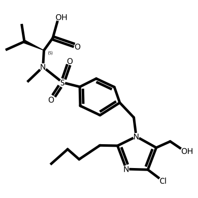 CCCCc1nc(Cl)c(CO)n1Cc1ccc(S(=O)(=O)N(C)[C@H](C(=O)O)C(C)C)cc1